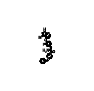 N[C@@H](Cc1ccc(Oc2ccnc3[nH]cc(Br)c23)c(F)c1)C(=O)N1CCN(Cc2ccccc2)CC1